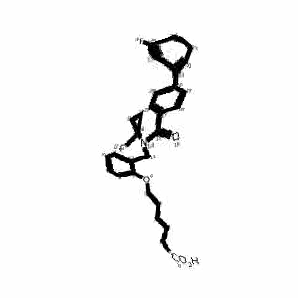 O=C(O)CCCCCOc1ccccc1CN(C(=O)c1ccc(-c2cccc(F)c2)cc1)C1(F)CC1